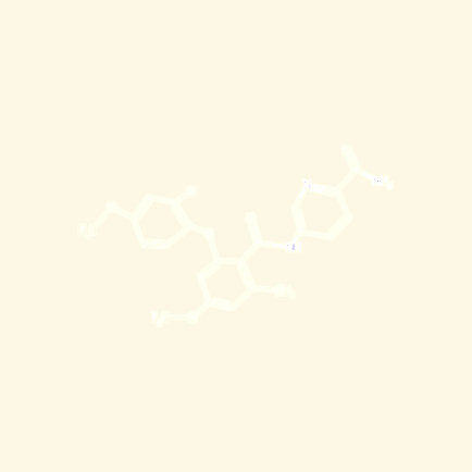 Cc1cc(OC(F)(F)F)cc(Oc2ccc(OC(F)(F)F)cc2Cl)c1C(=O)Nc1ccc(C(N)=O)nc1